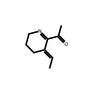 CC=C1CCCN=C1C(C)=O